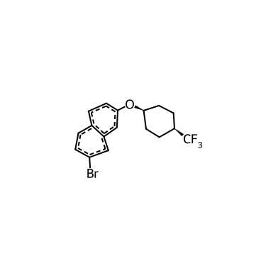 FC(F)(F)[C@H]1CC[C@@H](Oc2ccc3ccc(Br)cc3c2)CC1